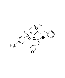 CCO[C@H](CN(CC(C)C)S(=O)(=O)c1ccc(N)cc1)[C@H](Cc1ccccc1)NC(=O)O[C@H]1CCOC1